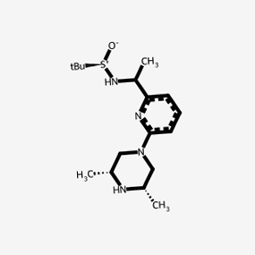 CC(N[S@+]([O-])C(C)(C)C)c1cccc(N2C[C@@H](C)N[C@@H](C)C2)n1